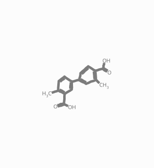 Cc1cc(-c2ccc(C)c(C(=O)O)c2)ccc1C(=O)O